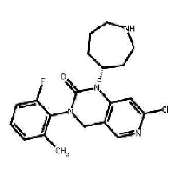 Cc1cccc(F)c1N1Cc2cnc(Cl)cc2N([C@@H]2CCCNCC2)C1=O